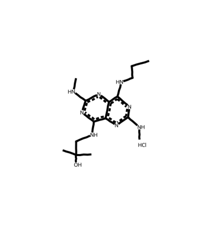 CCCNc1nc(NC)nc2c(NCC(C)(C)O)nc(NC)nc12.Cl